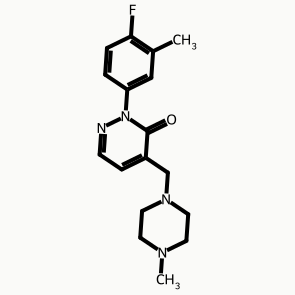 Cc1cc(-n2nccc(CN3CCN(C)CC3)c2=O)ccc1F